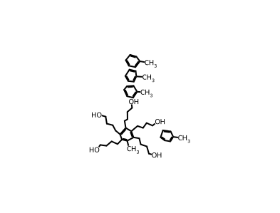 Cc1c(CCCCO)c(CCCCO)c(CCCCO)c(CCCCO)c1CCCCO.Cc1ccccc1.Cc1ccccc1.Cc1ccccc1.Cc1ccccc1